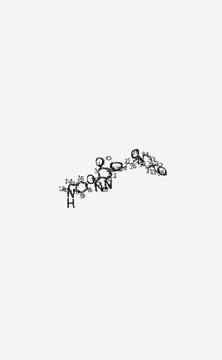 COc1cc2c(Oc3ccc4[nH]c(C)cc4c3)ncnc2cc1OCCCC(=O)N1CCC2(CC1)COC2